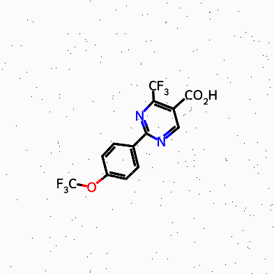 O=C(O)c1cnc(-c2ccc(OC(F)(F)F)cc2)nc1C(F)(F)F